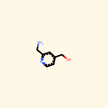 NCc1cc(CO)ccn1